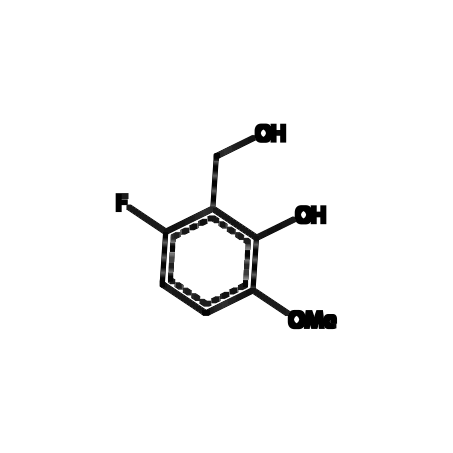 COc1ccc(F)c(CO)c1O